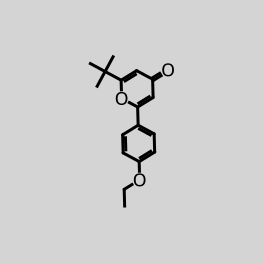 CCOc1ccc(-c2cc(=O)cc(C(C)(C)C)o2)cc1